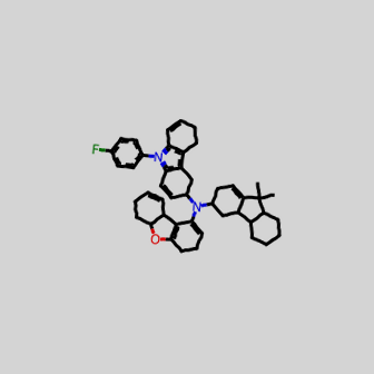 CC1(C)C2=CCC(N(C3=CCCC4=C3C3C=CCCC3O4)C3C=Cc4c(c5c(n4-c4ccc(F)cc4)C=CCC5)C3)CC2C2CCCCC21